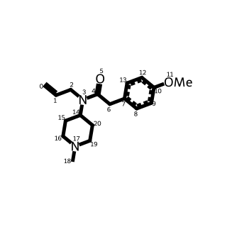 C=CCN(C(=O)Cc1ccc(OC)cc1)C1CCN(C)CC1